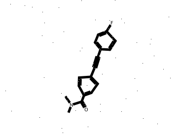 CN(C)C(=O)c1ccc(C#Cc2ccc(F)cc2)cc1